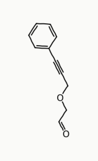 O=CCOCC#Cc1ccccc1